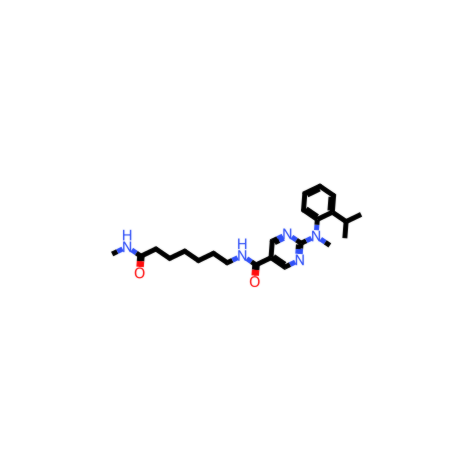 CNC(=O)CCCCCCNC(=O)c1cnc(N(C)c2ccccc2C(C)C)nc1